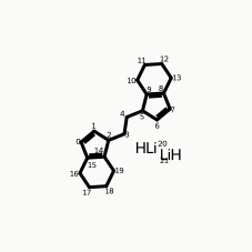 C1=CC(CCC2C=CC3=C2CCCC3)C2=C1CCCC2.[LiH].[LiH]